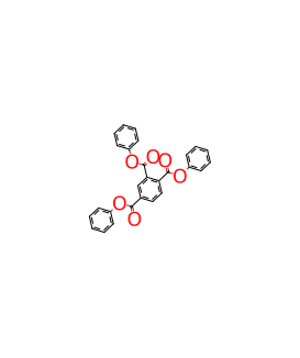 O=C(Oc1ccccc1)c1ccc(C(=O)Oc2ccccc2)c(C(=O)Oc2ccccc2)c1